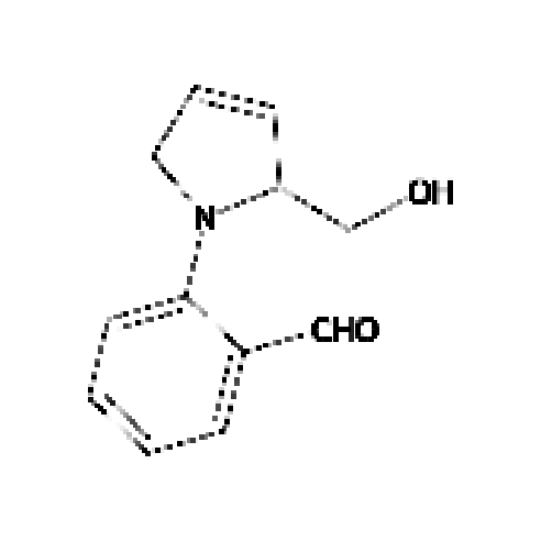 O=Cc1ccccc1N1CC=CC1CO